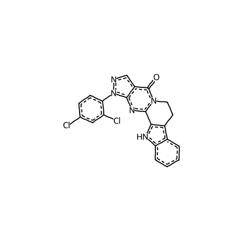 O=c1c2cnn(-c3ccc(Cl)cc3Cl)c2nc2n1CCc1c-2[nH]c2ccccc12